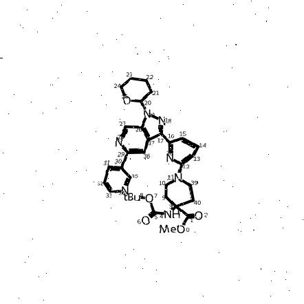 COC(=O)C1(NC(=O)OC(C)(C)C)CCN(c2cccc(-c3nn(C4CCCCO4)c4cnc(-c5cccnc5)cc34)n2)CC1